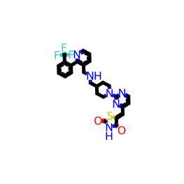 O=C1NC(=O)C(=Cc2ccnc(N3CCC(CNCc4cccnc4-c4ccccc4C(F)(F)F)CC3)n2)S1